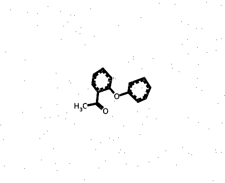 CC(=O)c1ccc[c]c1Oc1ccccc1